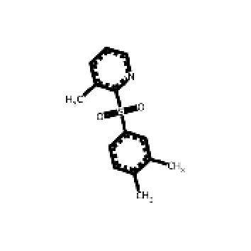 Cc1ccc(S(=O)(=O)c2ncccc2C)cc1C